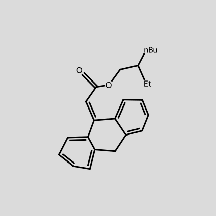 CCCCC(CC)COC(=O)C=C1c2ccccc2Cc2ccccc21